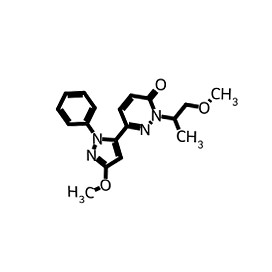 COCC(C)n1nc(-c2cc(OC)nn2-c2ccccc2)ccc1=O